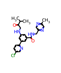 Cc1cnc(CNC(=O)c2cc(NCC(=O)C(C)C)cc(-c3ccc(Cl)cn3)c2)cn1